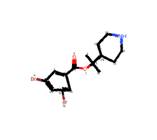 CC(C)(OC(=O)c1cc(Br)cc(Br)c1)C1CCNCC1